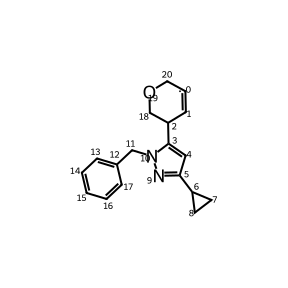 [C]1=CC(c2cc(C3CC3)nn2Cc2ccccc2)COC1